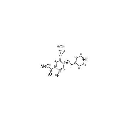 COC(=O)c1cc(C2CC2)c(OCC2CCNCC2)cc1F.Cl